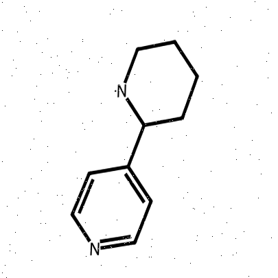 c1cc(C2CCCC[N]2)ccn1